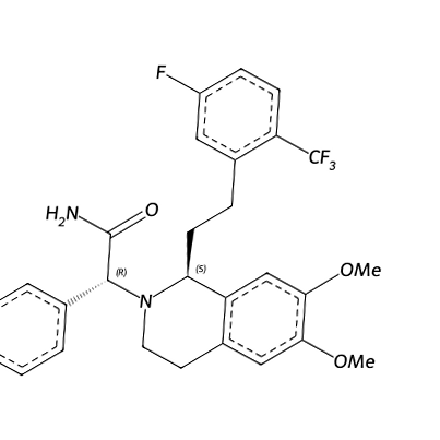 COc1cc2c(cc1OC)[C@H](CCc1cc(F)ccc1C(F)(F)F)N([C@@H](C(N)=O)c1ccccc1)CC2